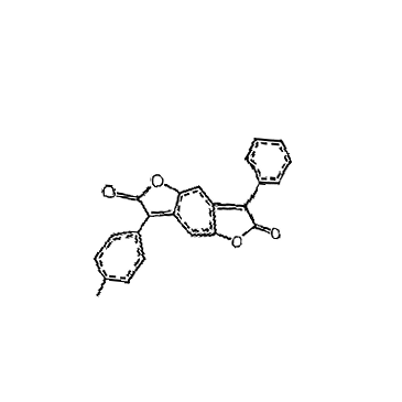 Cc1ccc(C2=c3cc4c(cc3OC2=O)=C(c2ccccc2)C(=O)O4)cc1